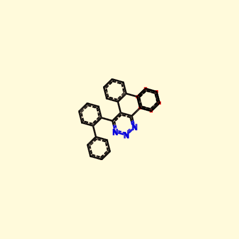 c1ccc(-c2ccccc2-c2nnnc(-c3ccccc3)c2-c2ccccc2-c2ccccc2)cc1